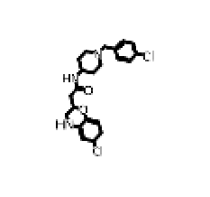 O=C(CC1CNC2=CC(Cl)CC=C2O1)NC1CCN(Cc2ccc(Cl)cc2)CC1